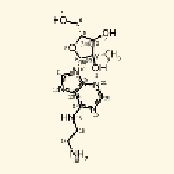 C[C@@]1(O)[C@H](O)[C@@H](CO)O[C@H]1n1cnc2c(NCCN)ncnc21